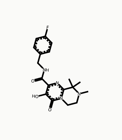 CN1CCn2c(nc(C(=O)NCc3ccc(F)cc3)c(O)c2=O)C1(C)C